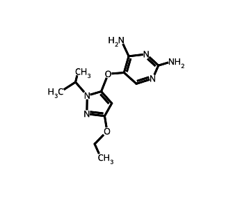 CCOc1cc(Oc2cnc(N)nc2N)n(C(C)C)n1